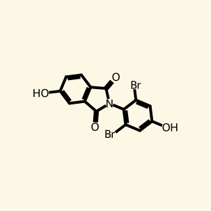 O=C1c2ccc(O)cc2C(=O)N1c1c(Br)cc(O)cc1Br